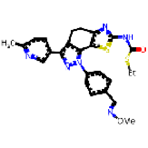 CCSC(=O)Nc1nc2c(s1)-c1c(c(-c3ccc(C)nc3)nn1-c1ccc(/C=N/OC)cc1)CC2